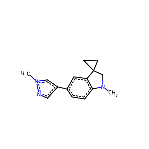 CN1CC2(CC2)c2cc(-c3cnn(C)c3)ccc21